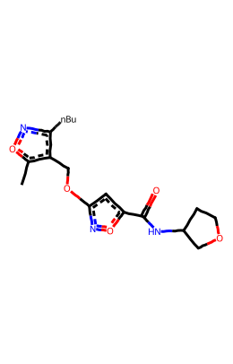 CCCCc1noc(C)c1COc1cc(C(=O)NC2CCOC2)on1